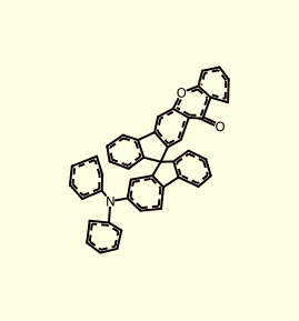 O=c1c2ccccc2oc2cc3c(cc12)C1(c2ccccc2-c2ccc(N(c4ccccc4)c4ccccc4)cc21)c1ccccc1-3